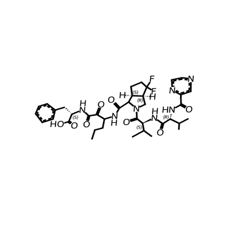 CCCC(NC(=O)C1[C@H]2CCC(F)(F)[C@H]2CN1C(=O)[C@@H](NC(=O)[C@H](NC(=O)c1cnccn1)C(C)C)C(C)C)C(=O)C(=O)N[C@@H](Cc1ccccc1)C(=O)O